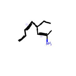 C=C/C=C\C(/C=C(\C)N)CC